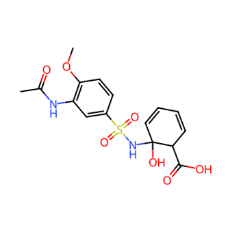 COc1ccc(S(=O)(=O)NC2(O)C=CC=CC2C(=O)O)cc1NC(C)=O